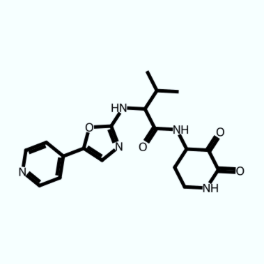 CC(C)C(Nc1ncc(-c2ccncc2)o1)C(=O)NC1CCNC(=O)C1=O